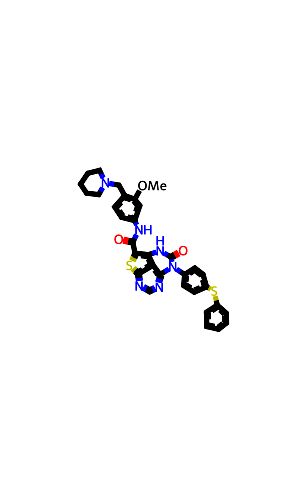 COc1cc(NC(=O)c2sc3ncnc4c3c2NC(=O)N4c2ccc(Sc3ccccc3)cc2)ccc1CN1CCCCC1